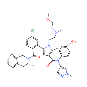 COCCN(C)CCn1c(-c2cc(Cl)ccc2C(=O)N2Cc3ccccc3C[C@H]2C)cc(C(=O)N(c2ccc(O)cc2)c2cnn(C)c2)c1C